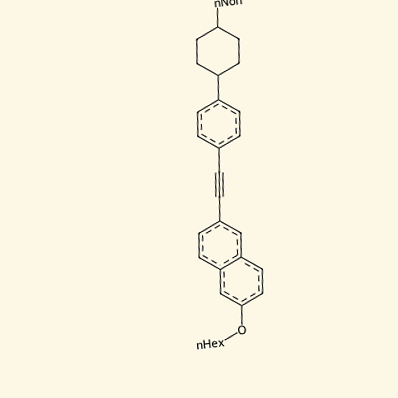 CCCCCCCCCC1CCC(c2ccc(C#Cc3ccc4cc(OCCCCCC)ccc4c3)cc2)CC1